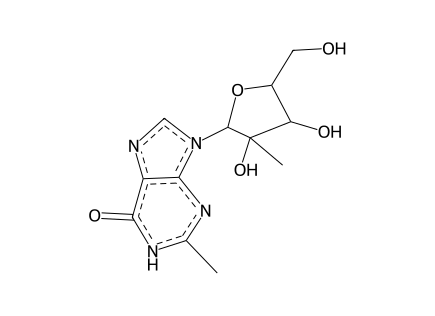 Cc1nc2c(ncn2C2OC(CO)C(O)C2(C)O)c(=O)[nH]1